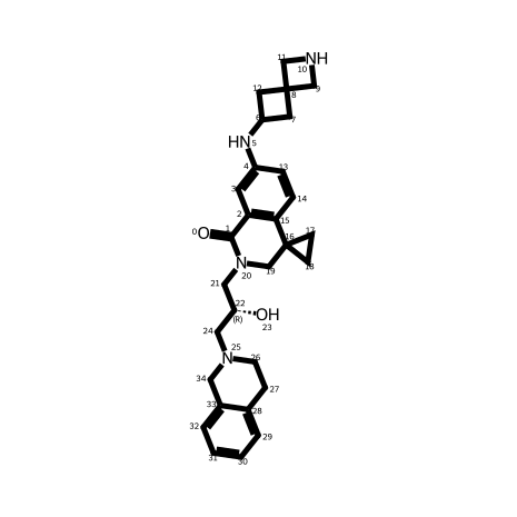 O=C1c2cc(NC3CC4(CNC4)C3)ccc2C2(CC2)CN1C[C@H](O)CN1CCc2ccccc2C1